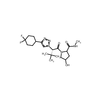 CNC(=O)C1CC(O)CN1C(=O)[C@@H](n1cc(C2CCC(F)(F)CC2)nn1)C(C)(C)C